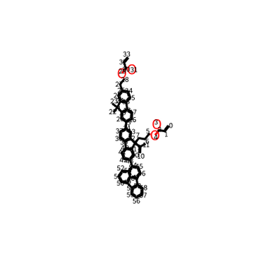 C=CC(=O)OCCCC1(C(=C)C)c2cc(-c3ccc4c(c3)C(C)(C)c3cc(CCOC(=O)C=C)ccc3-4)ccc2-c2ccc(-c3ccc4c5c(cccc35)-c3ccccc3-4)cc21